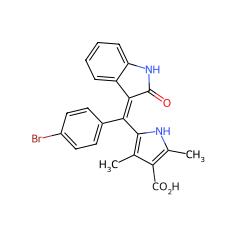 Cc1[nH]c(C(=C2C(=O)Nc3ccccc32)c2ccc(Br)cc2)c(C)c1C(=O)O